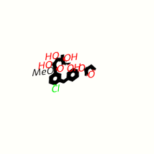 COC1(c2ccc(Cl)c(Cc3ccc(O[C@@H]4CCOC4)cc3)c2)O[C@H](CO)C(C)(O)[C@H](O)[C@H]1O